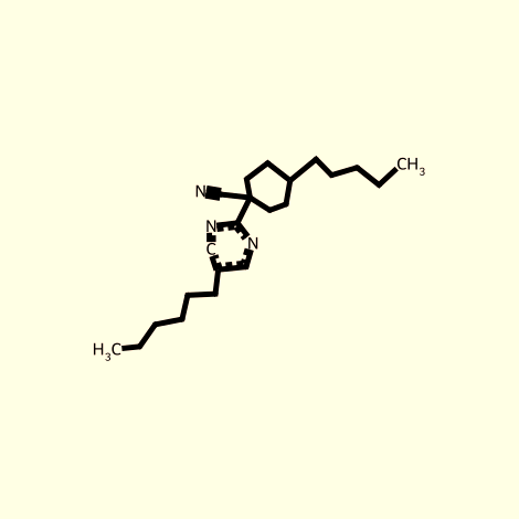 CCCCCCc1cnc(C2(C#N)CCC(CCCCC)CC2)nc1